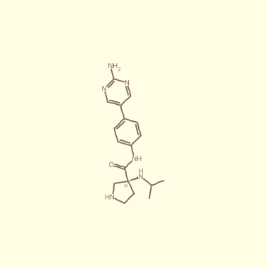 CC(C)N[C@@]1(C(=O)Nc2ccc(-c3cnc(N)nc3)cc2)CCNC1